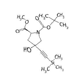 COC(=O)[C@@H]1CC(O)(C#C[Si](C)(C)C)CN1C(=O)OC(C)(C)C